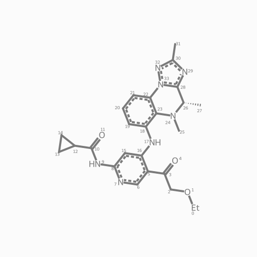 CCOCC(=O)c1cnc(NC(=O)C2CC2)cc1Nc1cccc2c1N(C)[C@@H](C)c1nc(C)nn1-2